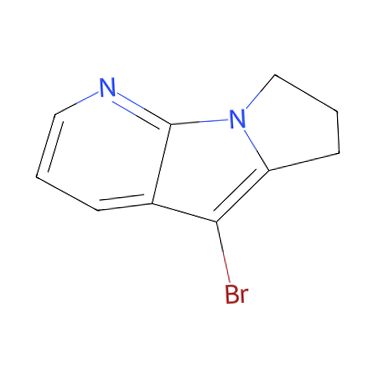 Brc1c2n(c3ncccc13)CCC2